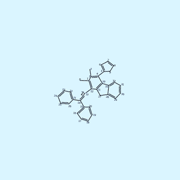 Cc1c(C)c(C2=CC=CC2)c2c([c]1[Zr]=[C](c1ccccc1)c1ccccc1)Cc1ccccc1-2